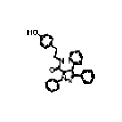 O=C(NCCc1ccc(O)cc1)C1C(c2ccccc2)C(c2ccccc2)=NN1c1ccccc1